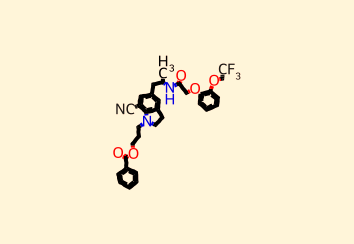 CC(Cc1cc(C#N)c2c(c1)CCN2CCCOC(=O)c1ccccc1)NC(=O)COc1ccccc1OCC(F)(F)F